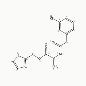 CC(NC(=O)Cc1cccc(Cl)c1)C(=O)OCc1cccs1